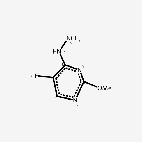 COc1ncc(F)c(NNC(F)(F)F)n1